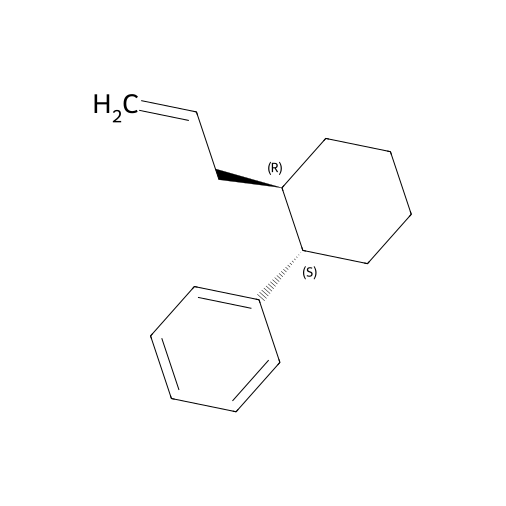 C=CC[C@H]1CCCC[C@@H]1c1ccccc1